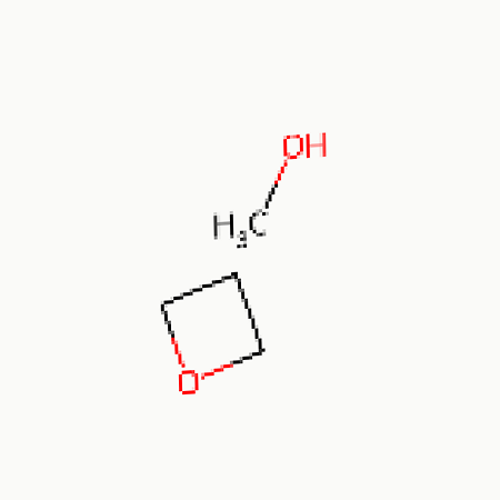 C1COC1.CO